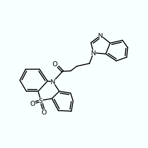 O=C(CCCn1cnc2ccccc21)N1c2ccccc2S(=O)(=O)c2ccccc21